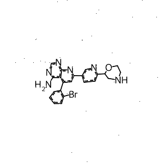 Nc1ncnc2nc(-c3ccc(C4CNCCO4)nc3)cc(-c3ccccc3Br)c12